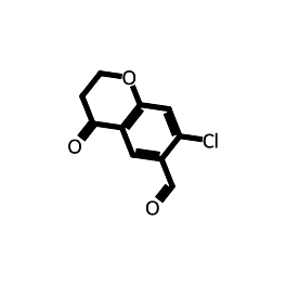 O=Cc1cc2c(cc1Cl)OCCC2=O